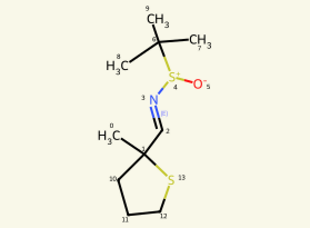 CC1(/C=N/[S+]([O-])C(C)(C)C)CCCS1